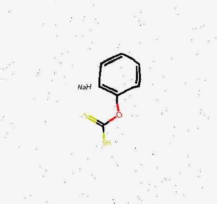 S=C(S)Oc1ccccc1.[NaH]